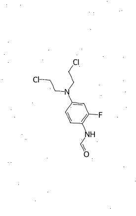 O=CNc1ccc(N(CCCl)CCCl)cc1F